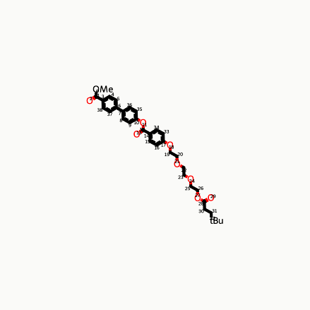 COC(=O)c1ccc(-c2ccc(OC(=O)c3ccc(OCCOCCOCCOC(=O)CCC(C)(C)C)cc3)cc2)cc1